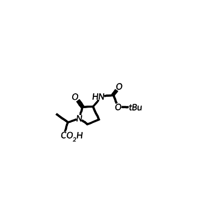 CC(C(=O)O)N1CCC(NC(=O)OC(C)(C)C)C1=O